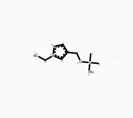 CC(C)(C)[Si](C)(C)OCc1cnn(CC#N)c1